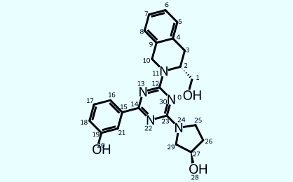 OC[C@H]1Cc2ccccc2CN1c1nc(-c2cccc(O)c2)nc(N2CC[C@@H](O)C2)n1